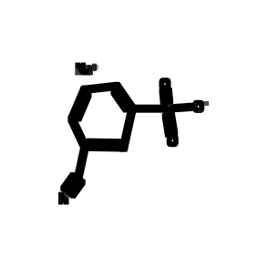 N#Cc1cccc(S(=O)(=O)[O-])c1.[Na+]